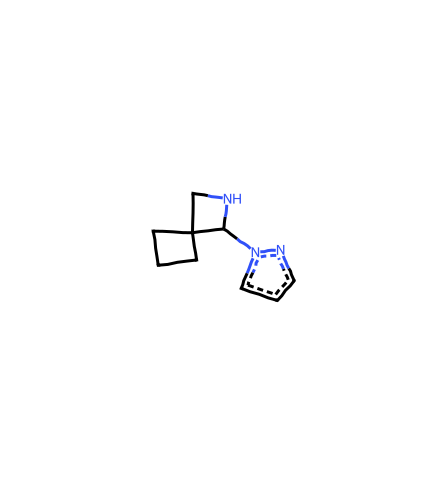 c1cnn(C2NCC23CCC3)c1